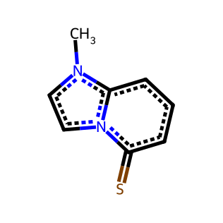 Cn1ccn2c(=S)cccc12